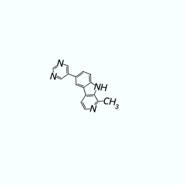 Cc1nccc2c1[nH]c1ccc(-c3cncnc3)cc12